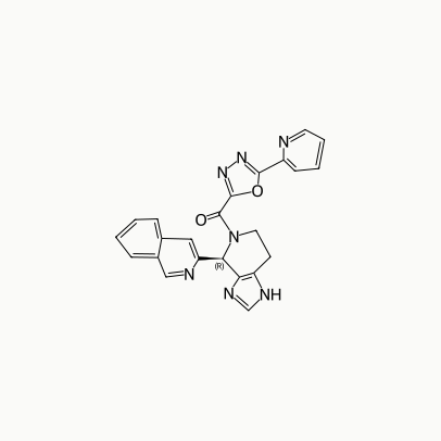 O=C(c1nnc(-c2ccccn2)o1)N1CCc2[nH]cnc2[C@H]1c1cc2ccccc2cn1